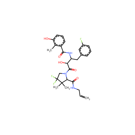 C=CCNC(=O)C1N(C(=O)C(O)C(Cc2cccc(F)c2)NC(=O)c2cccc(O)c2C)CC(F)(F)C1(C)C